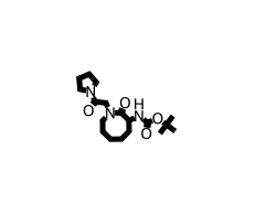 CC(C)(C)OC(=O)NC1CCCCCN(CC(=O)N2CCCC2)C1=O